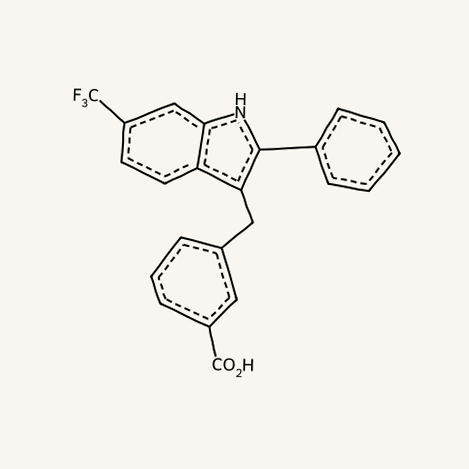 O=C(O)c1cccc(Cc2c(-c3ccccc3)[nH]c3cc(C(F)(F)F)ccc23)c1